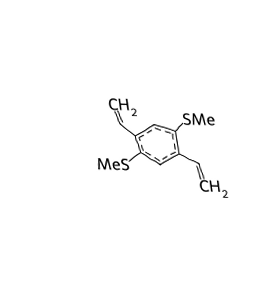 C=Cc1cc(SC)c(C=C)cc1SC